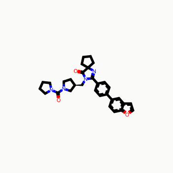 O=C(N1CCCC1)N1CC[C@@H](CN2C(=O)C3(CCCC3)N=C2c2ccc(-c3ccc4occc4c3)cc2)C1